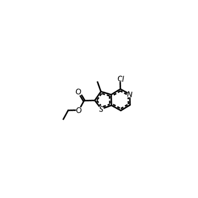 CCOC(=O)c1sc2ccnc(Cl)c2c1C